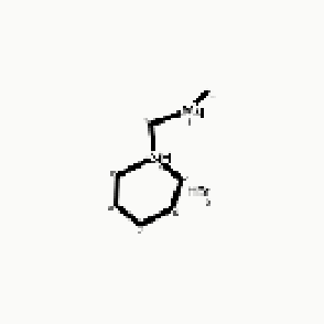 Br.[CH3][Mg][CH2][SiH]1CCCCC1